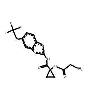 NCC(=O)NC1(C(=O)Nc2nc3ccc(OC(F)(F)F)cc3s2)CC1